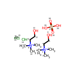 C[N+](C)(C)CCO.C[N+](C)(C)CCO.Cl.Cl.O=S(=O)(O)O.[Zn]